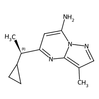 Cc1cnn2c(N)cc([C@H](C)C3CC3)nc12